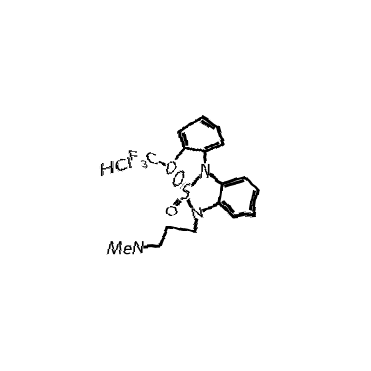 CNCCCN1c2ccccc2N(c2ccccc2OC(F)(F)F)S1(=O)=O.Cl